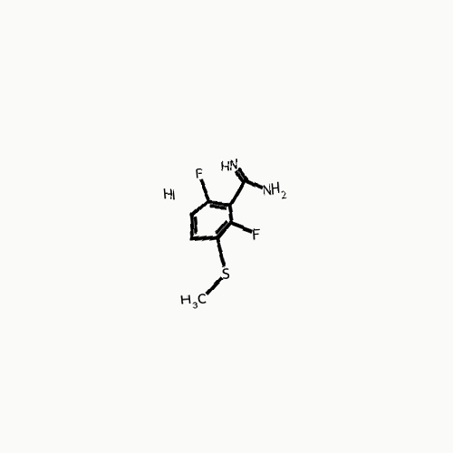 CSc1ccc(F)c(C(=N)N)c1F.I